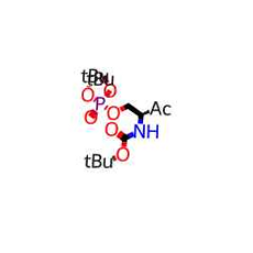 CC(=O)[C@H](COP(=O)(OC(C)(C)C)OC(C)(C)C)NC(=O)OC(C)(C)C